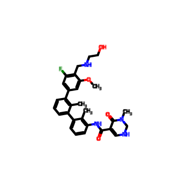 COc1cc(-c2cccc(-c3cccc(NC(=O)C4=CNCN(C)C4=O)c3C)c2C)cc(F)c1CNCCO